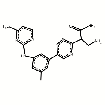 Cc1cc(Nc2nccc(C(F)(F)F)n2)cc(-c2cnc(C(CN)C(N)=O)nc2)c1